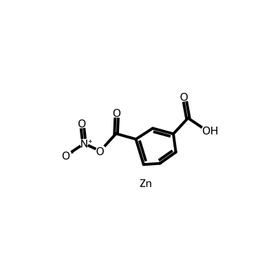 O=C(O)c1cccc(C(=O)O[N+](=O)[O-])c1.[Zn]